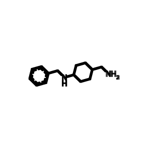 NCC1CCC(NCc2ccccc2)CC1